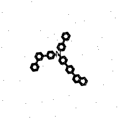 c1ccc(-c2ccc(N(c3ccc(-c4ccc(-c5ccc6ccccc6c5)cc4)cc3)c3ccc(-c4cccc(-c5ccccc5)c4)cc3)cc2)cc1